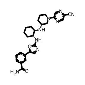 N#Cc1cnc(N2CCC[C@H](N[C@@H]3CCCC[C@H]3Nc3ncc(-c4cccc(C(N)=O)c4)o3)C2)cn1